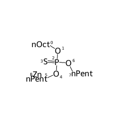 CCCCCCCCOP(=S)(OCCCCC)OCCCCC.[Zn]